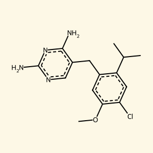 COc1cc(Cc2cnc(N)nc2N)c(C(C)C)cc1Cl